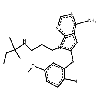 CCC(C)(C)NCCCn1c(Sc2cc(OC)ccc2I)nc2c(N)ncnc21